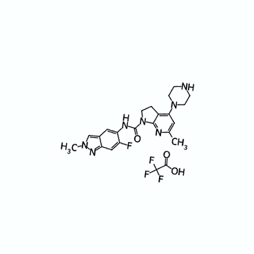 Cc1cc(N2CCNCC2)c2c(n1)N(C(=O)Nc1cc3cn(C)nc3cc1F)CC2.O=C(O)C(F)(F)F